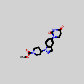 CC(C)(C)OC(=O)N1CCC(n2ncc3cc(N4CCC(=O)NC4=O)ccc32)CC1